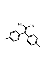 Cc1ccc(C(=C(C#N)C#N)c2ccc(C)cc2)cc1